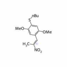 CCCCSc1cc(OC)c(/C=C(\C)[N+](=O)[O-])cc1OC